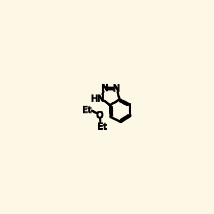 CCOCC.c1ccc2[nH]nnc2c1